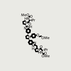 COCCOc1ccc(N2[C@@H](c3ccc4[nH]c(CC5CCCN5C(=O)[C@@H](NC(=O)OC)C(C)C)nc4c3)CC[C@@H]2c2ccc3[nH]c([C@@H]4CCCN4C(=O)[C@@H](NC(=O)OC)C(C)C)nc3c2)cc1